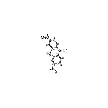 COc1ccc(C(=O)c2ccc(N(C)C)cc2)c(O)c1